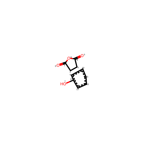 O=C1CCC(=O)O1.Oc1ccccc1